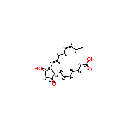 CC/C=C\CC/C=C/[C@H]1[C@H](O)CC(=O)[C@@H]1C/C=C\CCCC(=O)O